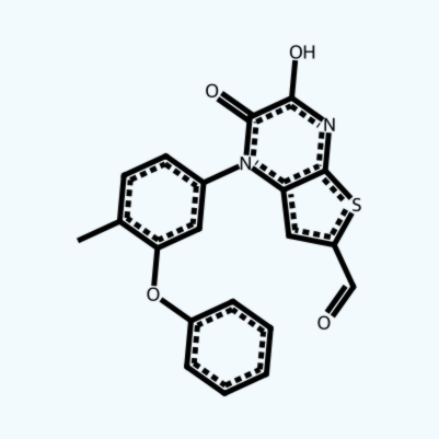 Cc1ccc(-n2c(=O)c(O)nc3sc(C=O)cc32)cc1Oc1ccccc1